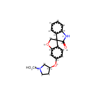 O=C(O)N1CC[C@H](Oc2ccc3c(c2)OCC32C(=O)Nc3ccccc32)C1